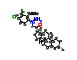 CNc1c(N(N)CC(=O)[C@H]2CCC3[C@@H]4CCC5C[C@@H](C)CC[C@]5(C)C4CC[C@@]32C)ccc(Cl)c1F